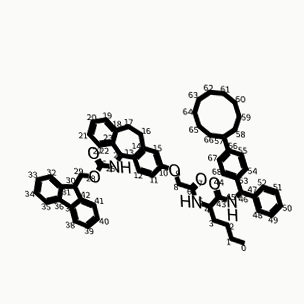 CCCCC(NC(=O)COc1ccc2c(c1)CCc1ccccc1C2NC(=O)OCC1c2ccccc2-c2ccccc21)C(=O)NC(c1ccccc1)c1ccc(C2CCCCCCCCC2)cc1